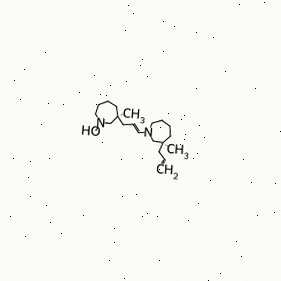 C=CC[C@]1(C)CCCCN(/C=C/C[C@]2(C)CCCCN(O)C2)C1